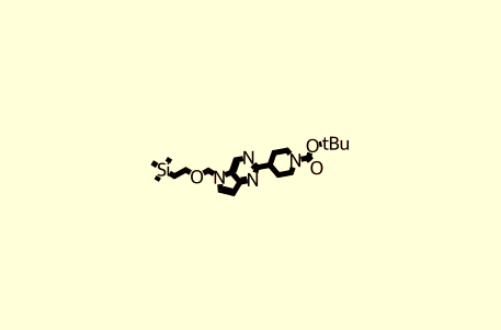 CC(C)(C)OC(=O)N1CCC(c2ncc3c(ccn3COCC[Si](C)(C)C)n2)CC1